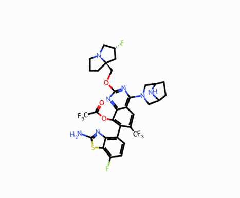 Nc1nc2c(-c3c(C(F)(F)F)cc4c(N5CC6CCC(C5)N6)nc(OC[C@@]56CCCN5C[C@H](F)C6)nc4c3OC(=O)C(F)(F)F)ccc(F)c2s1